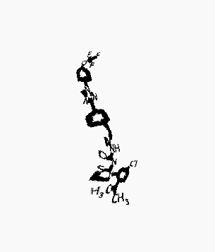 CC(C)c1ccc(Cl)cc1N1CCS/C1=N\C(=O)N/N=C/c1ccc(-c2ncn(-c3ccc(OC(F)(F)F)cc3)n2)cc1